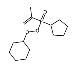 C=C(C)P(=O)(OOC1CCCCC1)C1CCCC1